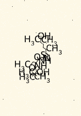 CCC[C@H](NC(=O)[C@@H](O)C(C)(C)C)C(=O)Nc1ncc([C@@H](C)CCCC(C)(C)O)s1